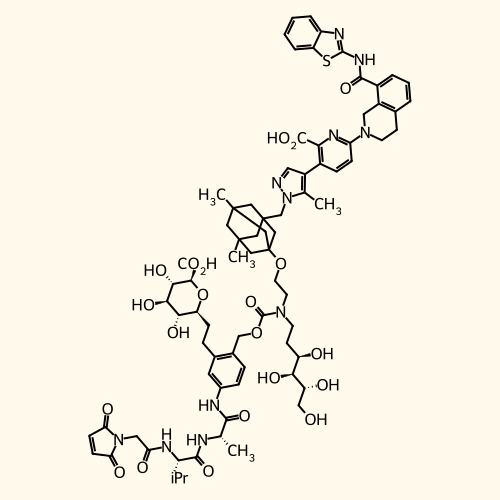 Cc1c(-c2ccc(N3CCc4cccc(C(=O)Nc5nc6ccccc6s5)c4C3)nc2C(=O)O)cnn1CC12CC3(C)CC(C)(C1)CC(OCCN(CC[C@@H](O)[C@H](O)[C@H](O)CO)C(=O)OCc1ccc(NC(=O)[C@H](C)NC(=O)[C@@H](NC(=O)CN4C(=O)C=CC4=O)C(C)C)cc1CC[C@@H]1O[C@H](C(=O)O)[C@@H](O)[C@H](O)[C@H]1O)(C3)C2